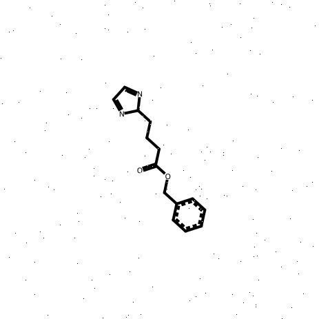 O=C(CCCC1N=CC=N1)OCc1ccccc1